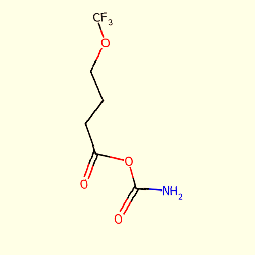 NC(=O)OC(=O)CCCOC(F)(F)F